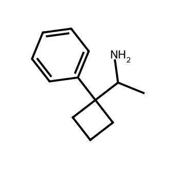 CC(N)C1(c2ccccc2)CCC1